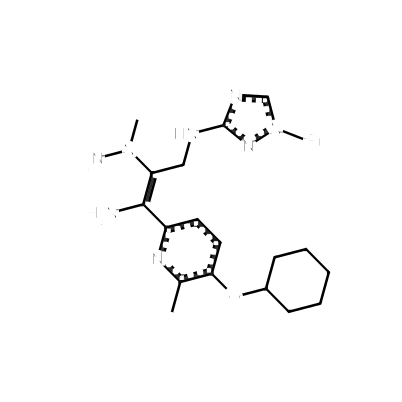 Cc1nc(/C(N)=C(\CNc2ncn(C(C)C)n2)N(C)N)ccc1OC1CCCCC1